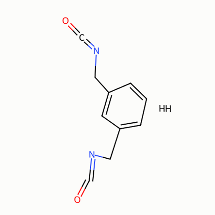 O=C=NCc1cccc(CN=C=O)c1.[HH]